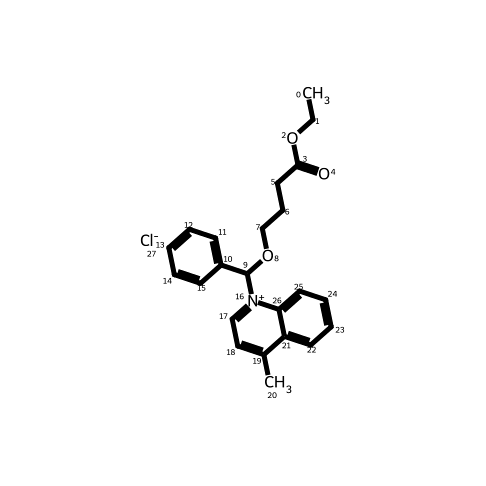 CCOC(=O)CCCOC(c1ccccc1)[n+]1ccc(C)c2ccccc21.[Cl-]